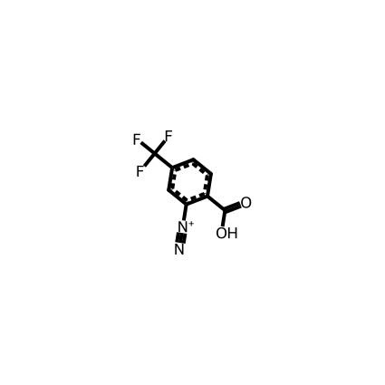 N#[N+]c1cc(C(F)(F)F)ccc1C(=O)O